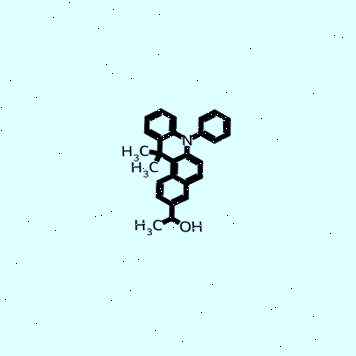 CC(O)c1ccc2c3c(ccc2c1)N(c1ccccc1)c1ccccc1C3(C)C